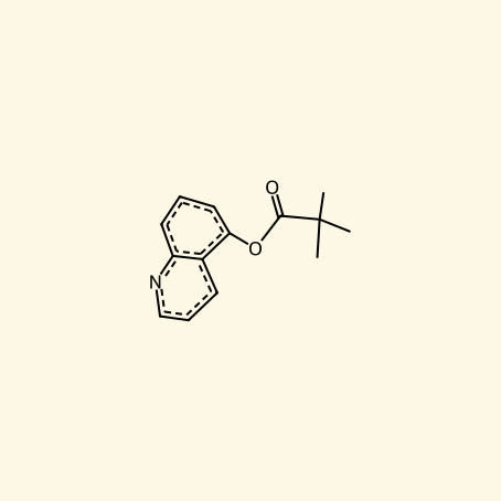 CC(C)(C)C(=O)Oc1cccc2ncccc12